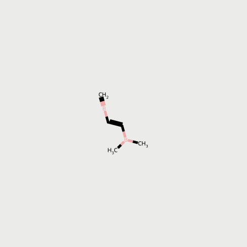 C=BC=CB(C)C